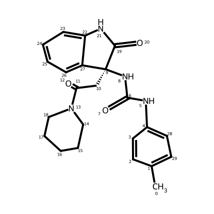 Cc1ccc(NC(=O)N[C@]2(CC(=O)N3CCCCC3)C(=O)Nc3ccccc32)cc1